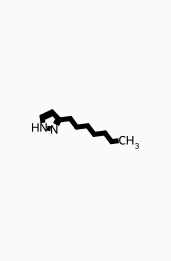 CCCCCCCc1cc[nH]n1